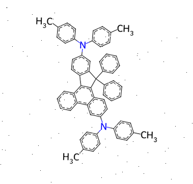 Cc1ccc(N(c2ccc(C)cc2)c2ccc3c(c2)C(c2ccccc2)(c2ccccc2)c2c-3c3ccccc3c3cc(N(c4ccc(C)cc4)c4ccc(C)cc4)ccc23)cc1